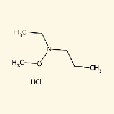 CCCN(CC)OC.Cl